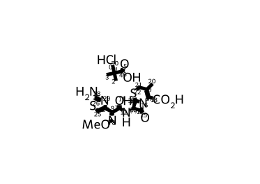 CC(C)(C)C(=O)O.CON=C(C(=O)N[C@@H]1C(=O)N2C(C(=O)O)=C(C)CS[C@H]12)c1csc(N)n1.Cl